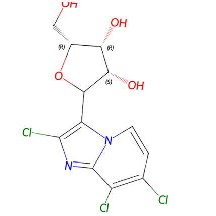 OC[C@H]1OC(c2c(Cl)nc3c(Cl)c(Cl)ccn23)[C@@H](O)[C@H]1O